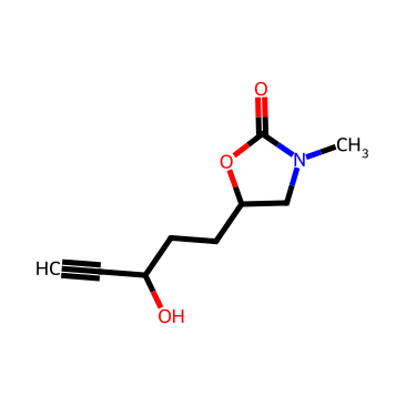 C#CC(O)CCC1CN(C)C(=O)O1